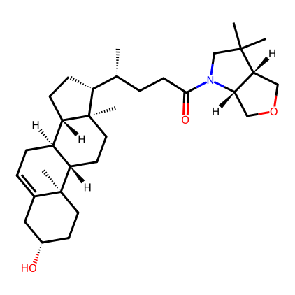 C[C@H](CCC(=O)N1CC(C)(C)[C@@H]2COC[C@@H]21)[C@H]1CC[C@H]2[C@@H]3CC=C4C[C@@H](O)CC[C@]4(C)[C@H]3CC[C@]12C